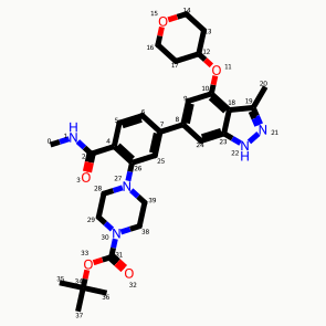 CNC(=O)c1ccc(-c2cc(OC3CCOCC3)c3c(C)n[nH]c3c2)cc1N1CCN(C(=O)OC(C)(C)C)CC1